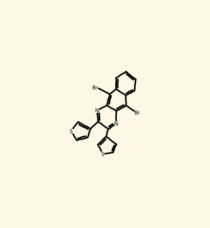 Brc1c2ccccc2c(Br)c2nc(-c3ccsc3)c(-c3ccsc3)nc12